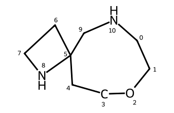 C1COCCC2(CCN2)CN1